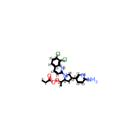 CCC(=O)OOC(C)C1CC(c2ccc(N)nc2)CN1c1ccc2ccc(Cl)c(Cl)c2n1